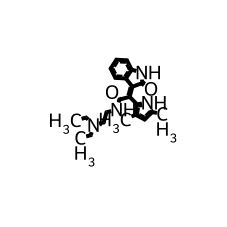 CCN(CC)CCNC(=O)C(=C1C(=O)Nc2ccccc21)c1[nH]c(C)cc1C